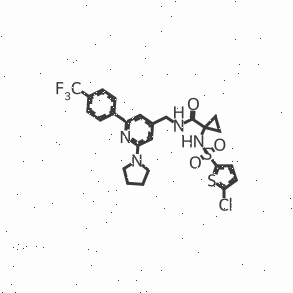 O=C(NCc1cc(-c2ccc(C(F)(F)F)cc2)nc(N2CCCC2)c1)C1(NS(=O)(=O)c2ccc(Cl)s2)CC1